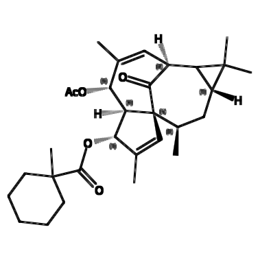 CC(=O)O[C@@H]1C(C)=C[C@@H]2C(=O)[C@]3(C=C(C)[C@H](OC(=O)C4(C)CCCCC4)[C@@H]13)[C@H](C)C[C@@H]1C2C1(C)C